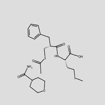 CSCC[C@H](NC(=O)[C@H](CSC(C)=O)Cc1ccccc1)C(=O)O.NC(=O)N1CCOCC1